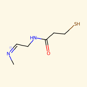 C/N=C\CNC(=O)CCS